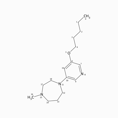 CCCCCOc1cncc(N2CCCN(C)CC2)c1